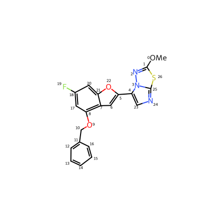 COc1nn2c(-c3cc4c(OCc5ccccc5)cc(F)cc4o3)cnc2s1